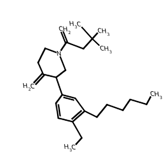 C=C1CCN(C(=C)CC(C)(C)C)CC1c1ccc(CC)c(CCCCCC)c1